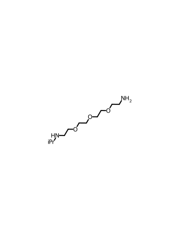 CC(C)NCCOCCOCCOCCN